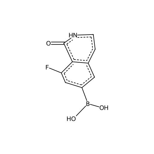 O=c1[nH]ccc2cc(B(O)O)cc(F)c12